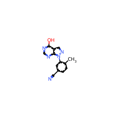 Cc1ccc(C#N)cc1-n1ncc2c(O)ncnc21